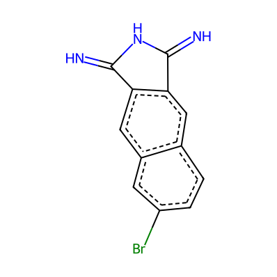 N=C1NC(=N)c2cc3cc(Br)ccc3cc21